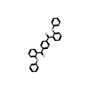 O=C(c1ccc(C(=O)c2ccccc2Oc2ccccc2)cc1)c1ccccc1Oc1ccccc1